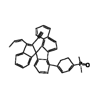 C#CC1=C(/C=C\C)c2ccccc2C12c1cccc(C3=CC=C(P(C)(C)=O)CC3)c1-c1ccc3ccccc3c12